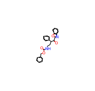 O=C(NCCC(C(=O)c1nc2ccccc2o1)c1ccccc1)OCc1ccccc1